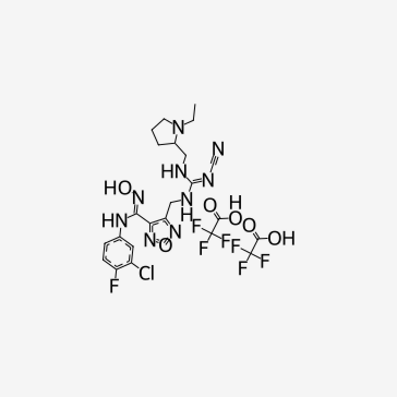 CCN1CCCC1CN/C(=N\C#N)NCc1nonc1/C(=N/O)Nc1ccc(F)c(Cl)c1.O=C(O)C(F)(F)F.O=C(O)C(F)(F)F